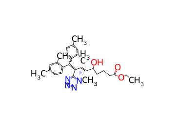 CCOC(=O)CCCC(O)/C=C/C(=C(c1ccc(C)cc1C)c1ccc(C)cc1C)c1nnnn1C